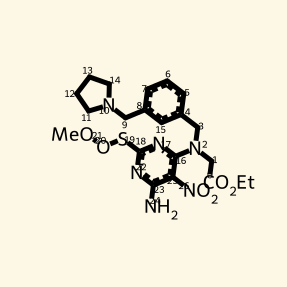 CCOC(=O)CN(Cc1cccc(CN2CCCC2)c1)c1nc(SOOC)nc(N)c1[N+](=O)[O-]